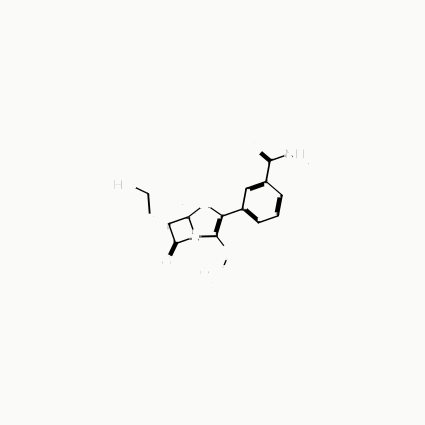 NC(=O)c1cccc(C2=C(OC(=O)O)N3C(=O)[C@H](CCO)[C@H]3S2)c1